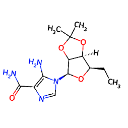 CC[C@H]1O[C@@H](n2cnc(C(N)=O)c2N)C2OC(C)(C)O[C@H]21